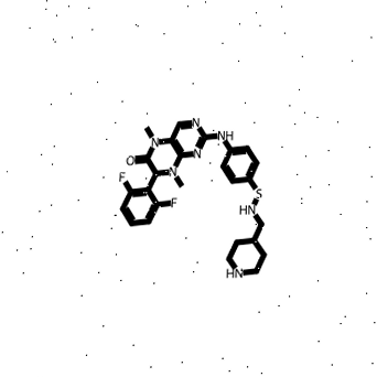 CN1C(=O)C(c2c(F)cccc2F)N(C)c2nc(Nc3ccc(SNCC4CCNCC4)cc3)ncc21